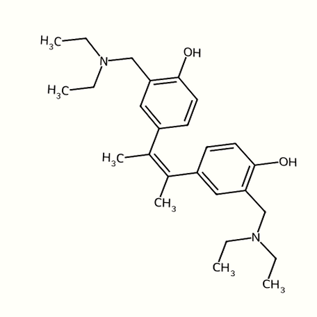 CCN(CC)Cc1cc(/C(C)=C(/C)c2ccc(O)c(CN(CC)CC)c2)ccc1O